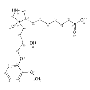 COc1ccccc1OCC(O)CC[N+]1([O-])CNCC1CCCCCCC(=O)O